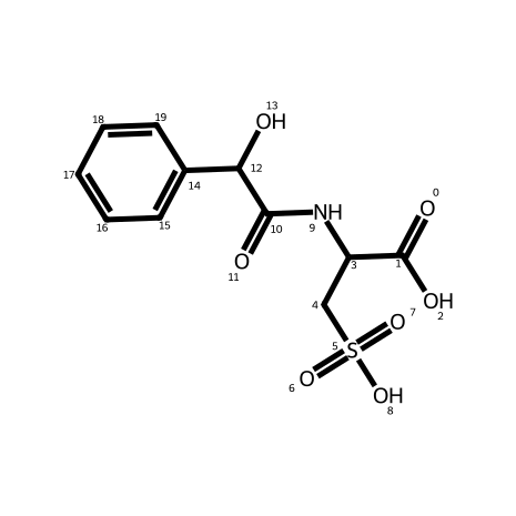 O=C(O)C(CS(=O)(=O)O)NC(=O)C(O)c1ccccc1